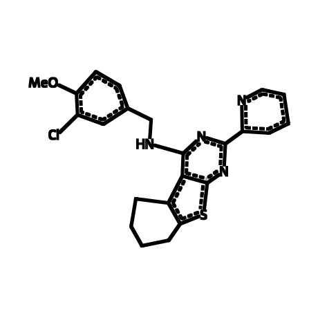 COc1ccc(CNc2nc(-c3ccccn3)nc3sc4c(c23)CCCC4)cc1Cl